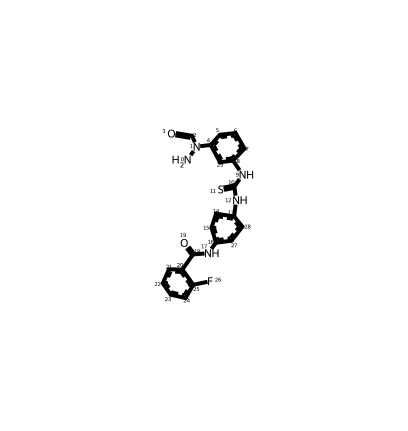 NN(C=O)c1cccc(NC(=S)Nc2ccc(NC(=O)c3ccccc3F)cc2)c1